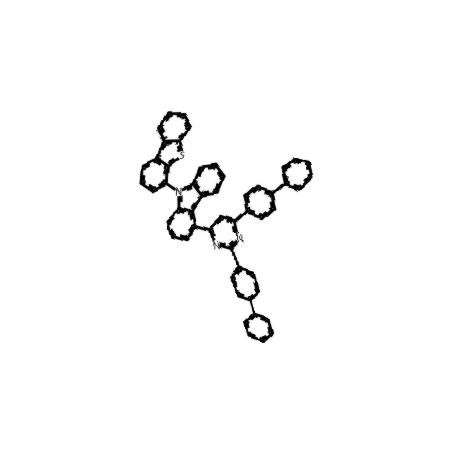 c1ccc(-c2ccc(-c3cc(-c4cccc5c4c4ccccc4n5-c4cccc5c4sc4ccccc45)nc(-c4ccc(-c5ccccc5)cc4)n3)cc2)cc1